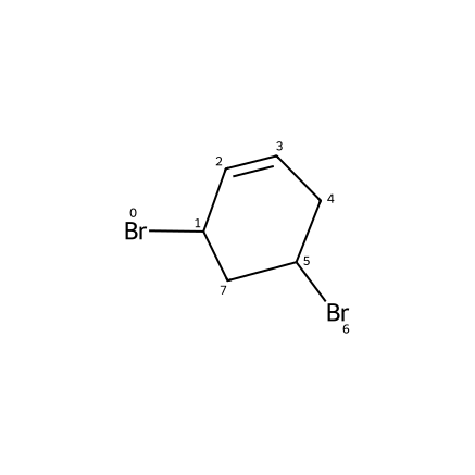 BrC1C=CCC(Br)C1